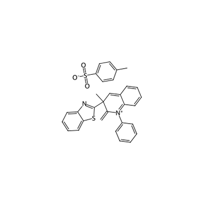 C=C1[N+](c2ccccc2)=c2ccccc2=CC1(C)c1nc2ccccc2s1.Cc1ccc(S(=O)(=O)[O-])cc1